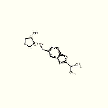 CC(C)c1nc2ccc(CN[C@@H]3CCC[C@@H]3O)cn2n1